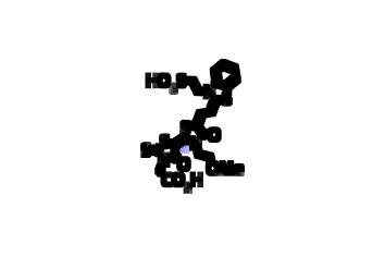 COCCn1c(=O)c(=CC=C2Sc3ccccc3N2CCS(=O)(=O)O)s/c1=C1\SC(=S)N(CC(=O)O)C1=O